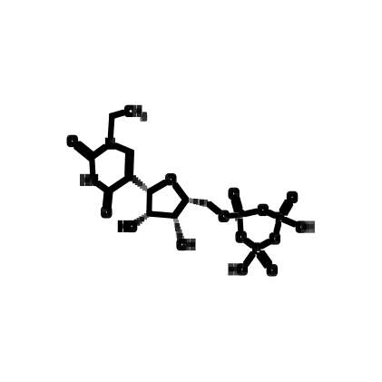 CCn1cc([C@@H]2O[C@H](COP3(=O)OP(=O)(O)OP(=O)(O)O3)[C@H](O)[C@@H]2O)c(=O)[nH]c1=O